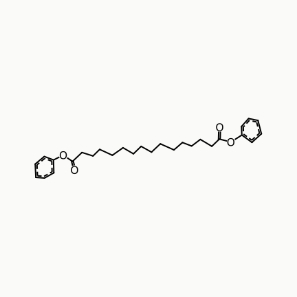 O=C(CCCCCCCCCCCCCCC(=O)Oc1ccccc1)Oc1ccccc1